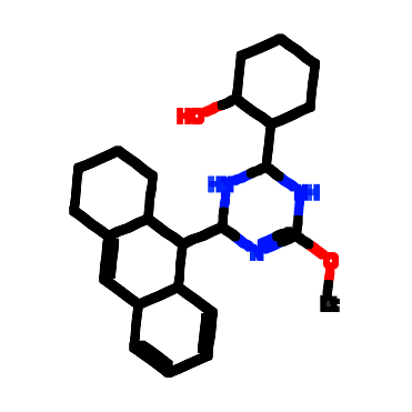 CCOC1=NC(C2C3CCCCC3=CC3C=CC=CC32)NC(C2CCCCC2O)N1